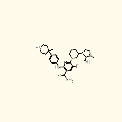 CN1CCN(C2CCCN(c3nc(Nc4ccc(C5(C)CCNCC5)cc4)c(C(N)=O)cc3F)C2)C1O